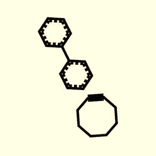 C1#CCCCCCC1.c1ccc(-c2ccccc2)cc1